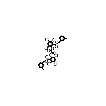 Cc1cccc(COC(=O)c2c(Cl)c(Cl)cc(Cl)c2OC(=O)C(=O)Oc2c(Cl)cc(Cl)c(Cl)c2C(=O)OCc2cccc(C)c2)c1